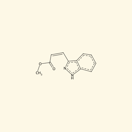 COC(=O)/C=C\c1n[nH]c2ccccc12